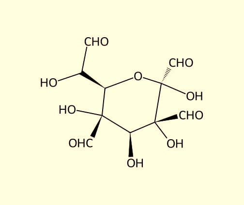 O=CC(O)[C@H]1O[C@](O)(C=O)[C@@](O)(C=O)[C@@H](O)[C@@]1(O)C=O